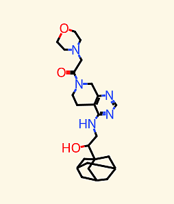 O=C(CN1CCOCC1)N1CCc2c(ncnc2NCC(O)C23CC4CC(CC(C4)C2)C3)C1